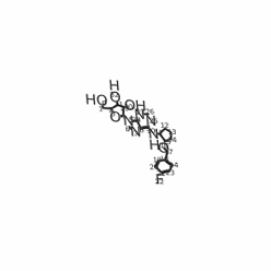 OCC1OC(n2cnc3c(NC4CCCC4OCc4ccc(F)cc4)ncnc32)C(O)C1O